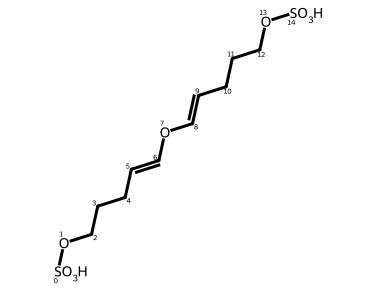 O=S(=O)(O)OCCCC=COC=CCCCOS(=O)(=O)O